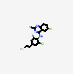 [2H]c1nc(Nc2c(Cl)cc(C=CC#N)cc2Cl)c2cc(F)ccc2n1